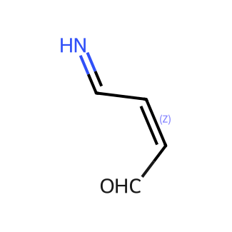 N=C/C=C\C=O